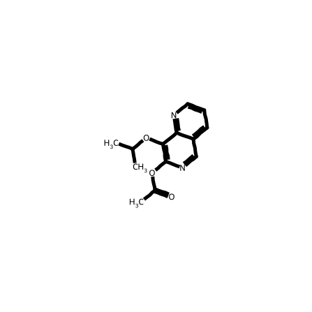 CC(=O)Oc1ncc2cccnc2c1OC(C)C